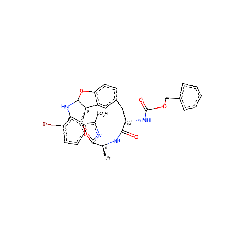 CC(C)[C@@H]1NC(=O)[C@@H](NC(=O)OCc2ccccc2)Cc2ccc3c(c2)[C@@]2(c4cccc(Br)c4NC2O3)c2oc1nc2C(=O)O